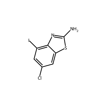 Nc1nc2c(I)cc(Cl)cc2s1